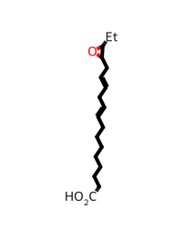 CCC1OC1CC=CCC=CCCCCCCCC(=O)O